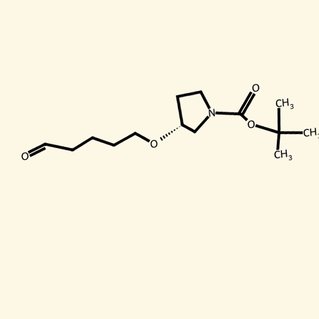 CC(C)(C)OC(=O)N1CC[C@@H](OCCCCC=O)C1